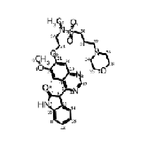 COc1cc2c(C3C(=O)Nc4ccccc43)ncnc2cc1OCCN(C)S(=O)(=O)CCCN1CCOCC1